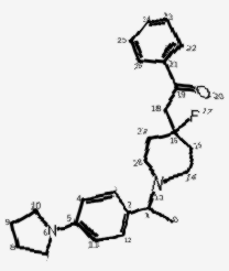 CC(c1ccc(N2CCCC2)cc1)N1CCC(F)(CC(=O)c2ccccc2)CC1